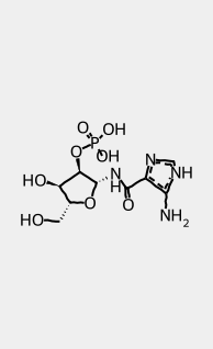 Nc1[nH]cnc1C(=O)N[C@@H]1O[C@H](CO)[C@@H](O)[C@H]1OP(=O)(O)O